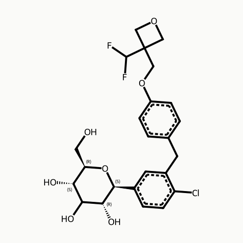 OC[C@H]1O[C@@H](c2ccc(Cl)c(Cc3ccc(OCC4(C(F)F)COC4)cc3)c2)[C@H](O)C(O)[C@@H]1O